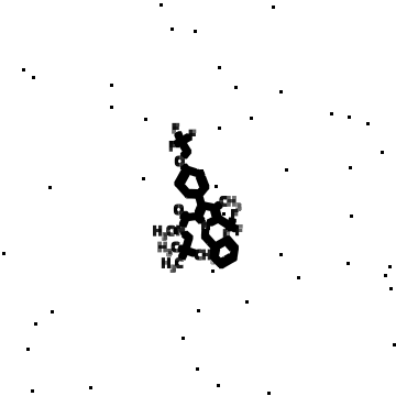 Cc1c(-c2ccc(OCC(F)(F)F)cc2)c(C(=O)N(C)CC(C)(C)C)n(Cc2ccccc2)c1C(F)(F)F